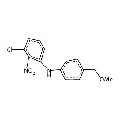 COCc1ccc(Nc2cccc(Cl)c2[N+](=O)[O-])cc1